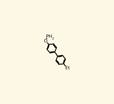 CCc1ccc(-c2ccc(OP)cc2)cc1